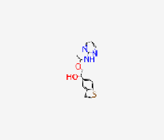 CC(Nc1ncccn1)OCC(O)c1ccc2sccc2c1